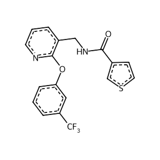 O=C(NCc1cccnc1Oc1cccc(C(F)(F)F)c1)c1ccsc1